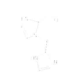 CSC1NC=CN1Cc1ncc[nH]1